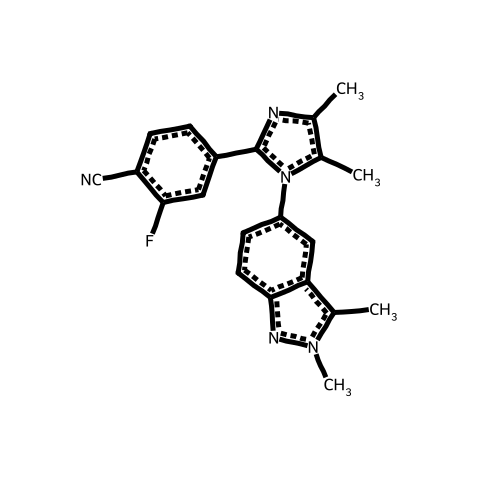 Cc1nc(-c2ccc(C#N)c(F)c2)n(-c2ccc3nn(C)c(C)c3c2)c1C